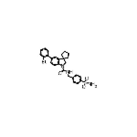 CCc1ccccc1-c1ccc2c(c1)C1(CCCC1)CN2C(=O)NCc1ccc(S(N)(=O)=O)cc1